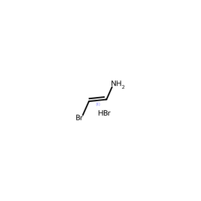 Br.N/C=C/Br